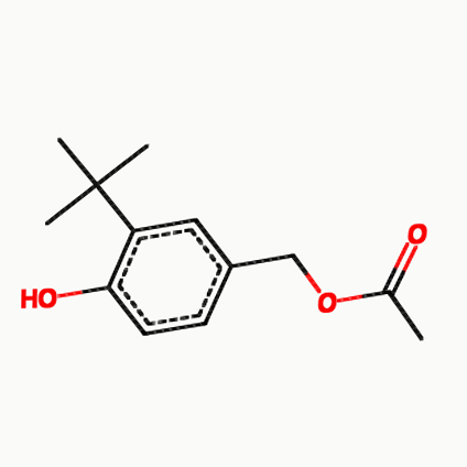 CC(=O)OCc1ccc(O)c(C(C)(C)C)c1